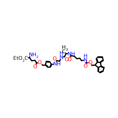 CCOC(=O)C(N)CCC(=O)OCc1ccc(NC(=O)CNC(=O)C(C)NC(=O)CCCCNC(=O)OCC2c3ccccc3-c3ccccc32)cc1